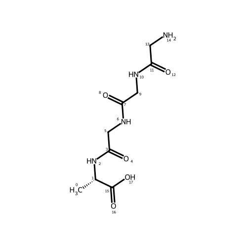 C[C@H](NC(=O)CNC(=O)CNC(=O)CN)C(=O)O